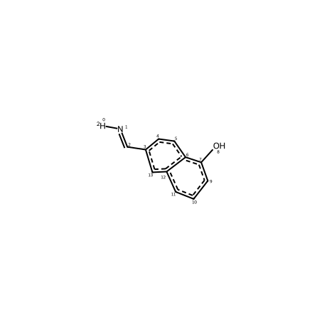 [2H]/N=C/c1ccc2c(O)cccc2c1